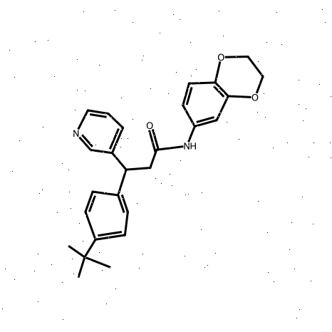 CC(C)(C)c1ccc(C(CC(=O)Nc2ccc3c(c2)OCCO3)c2cccnc2)cc1